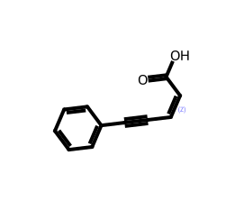 O=C(O)/C=C\C#Cc1ccccc1